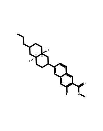 CCCC1CC[C@@H]2CC(c3ccc4cc(C(=O)OC)c(F)cc4c3)CC[C@H]2C1